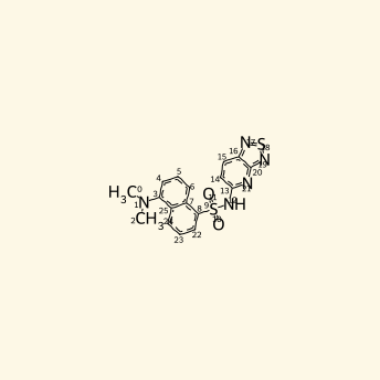 CN(C)c1cccc2c(S(=O)(=O)Nc3ccc4nsnc4n3)cccc12